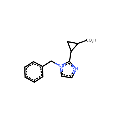 O=C(O)C1CC1c1nccn1Cc1ccccc1